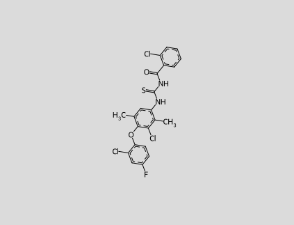 Cc1cc(NC(=S)NC(=O)c2ccccc2Cl)c(C)c(Cl)c1Oc1ccc(F)cc1Cl